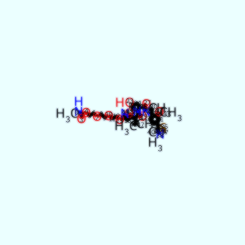 CNC(=O)OCCOCCOCCOc1cc(C(C(=O)N2C[C@H](O)C[C@H]2C(=O)NC(C)c2ccc(-c3scnc3C)cc2OC)C(C)C)on1